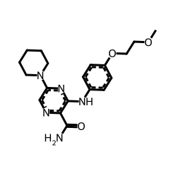 COCCOc1ccc(Nc2nc(N3CCCCC3)cnc2C(N)=O)cc1